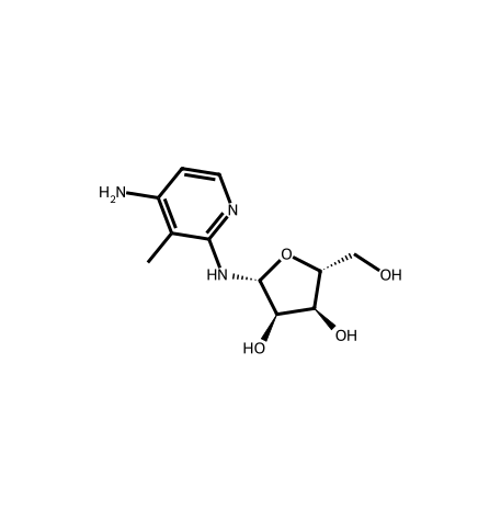 Cc1c(N)ccnc1N[C@@H]1O[C@H](CO)[C@@H](O)[C@H]1O